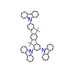 CC1(C)c2cc(-n3c4ccccc4c4ccccc43)ccc2-c2cc3c(cc21)-c1cc(-n2c4ccccc4c4ccccc42)cc(-n2c4ccccc4c4ccccc42)c1C3(C)C